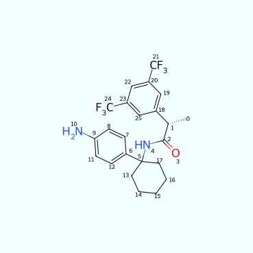 C[C@H](C(=O)NC1(c2ccc(N)cc2)CCCCC1)c1cc(C(F)(F)F)cc(C(F)(F)F)c1